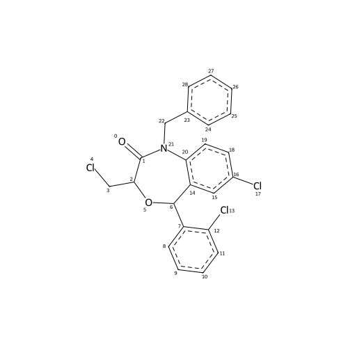 O=C1C(CCl)OC(c2ccccc2Cl)c2cc(Cl)ccc2N1Cc1ccccc1